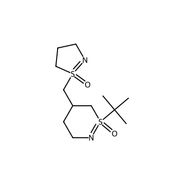 CC(C)(C)S1(=O)=NCCC(CS2(=O)=NCCC2)C1